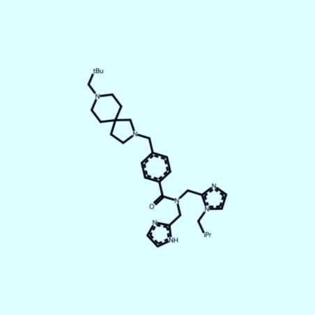 CC(C)Cn1ccnc1CN(Cc1ncc[nH]1)C(=O)c1ccc(CN2CCC3(CCN(CC(C)(C)C)CC3)C2)cc1